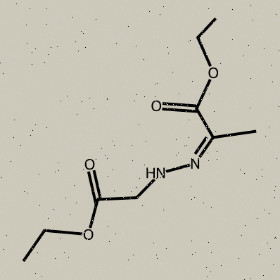 CCOC(=O)CNN=C(C)C(=O)OCC